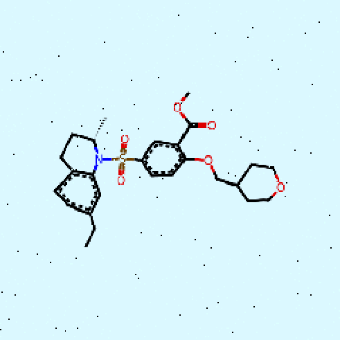 CCc1ccc2c(c1)N(S(=O)(=O)c1ccc(OCC3CCOCC3)c(C(=O)OC)c1)[C@@H](C)CC2